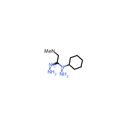 CNC/C(=N/N)N(N)C1CCCCC1